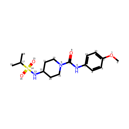 COc1ccc(NC(=O)N2CCC(NS(=O)(=O)C(C)C)CC2)cc1